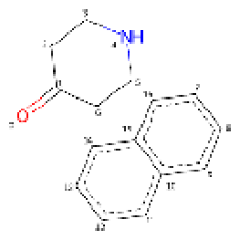 O=C1CCNCC1.c1ccc2ccccc2c1